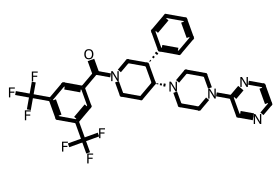 O=C(c1cc(C(F)(F)F)cc(C(F)(F)F)c1)N1CC[C@@H](N2CCN(c3cnccn3)CC2)[C@@H](c2ccccc2)C1